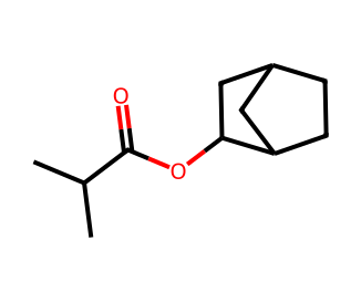 CC(C)C(=O)OC1CC2CCC1C2